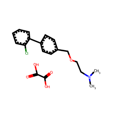 CN(C)CCOCc1ccc(-c2ccccc2Cl)cc1.O=C(O)C(=O)O